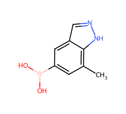 Cc1cc(B(O)O)cc2cn[nH]c12